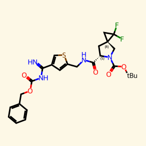 CC(C)(C)OC(=O)N1C[C@@]2(C[C@H]1C(=O)NCc1cc(C(=N)NC(=O)OCc3ccccc3)cs1)CC2(F)F